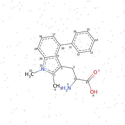 Cc1c(CC(N)C(=O)O)c2c(-c3ccccc3)cccc2n1C